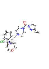 CC(=O)c1ccn(C(=O)N2CCN(Cc3cccc(Cl)c3N3C4CCC3COC4)CC2)n1